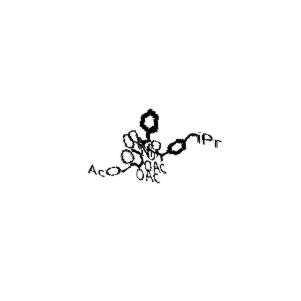 CC(=O)OC[C@H]1O[C@@H](OC(C)=O)[C@H](NC(=O)C(OC(=O)C(C)c2ccc(CC(C)C)cc2)c2ccccc2)[C@@H](OC(C)=O)[C@@H]1OC(C)=O